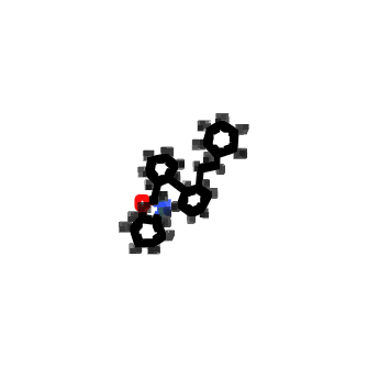 C(=Cc1ccccc1-c1ccccc1-c1nc2ccccc2o1)c1ccccc1